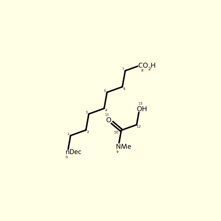 CCCCCCCCCCCCCCCCCC(=O)O.CNC(=O)CO